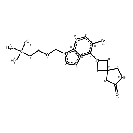 C[Si](C)(C)CCOCn1ccc2c(N3CC4(CNC(=O)C4)C3)c(Br)cnc21